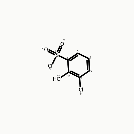 O=S(=O)(Cl)c1cccc(Cl)c1O